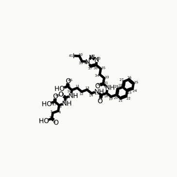 O=C(O)CCC(NC(=O)NC(CCCCNC(=O)C(Cc1ccc2ccccc2c1)NC(=O)CCCc1cn(CCI)nn1)C(=O)O)C(=O)O